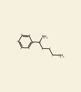 NCCCC(N)c1cc[c]cc1